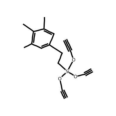 C#CO[Si](CCc1cc(C)c(C)c(C)c1)(OC#C)OC#C